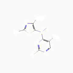 CN(c1nc(Cl)ncc1[N+](=O)[O-])c1sc(C(F)(F)F)nc1C(=O)O